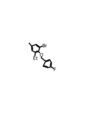 CCc1cc(C)cc(Br)c1OCc1ccc(F)cc1